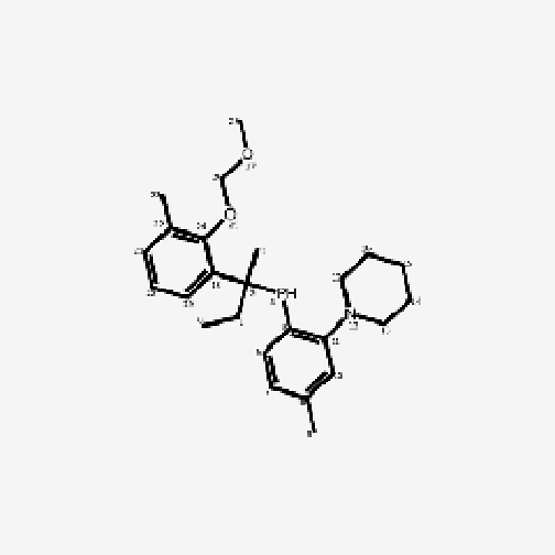 CCC(C)(Pc1ccc(C)cc1N1CCCCC1)c1cccc(C)c1OCOC